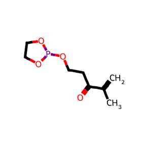 C=C(C)C(=O)CCOP1OCCO1